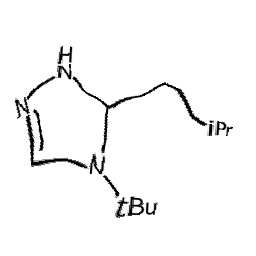 CC(C)CC1NN=CN1C(C)(C)C